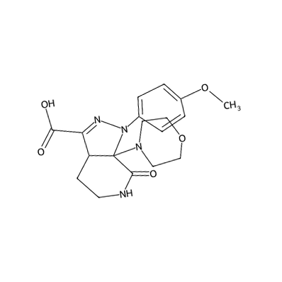 COc1ccc(N2N=C(C(=O)O)C3CCNC(=O)C32N2CCOCC2)cc1